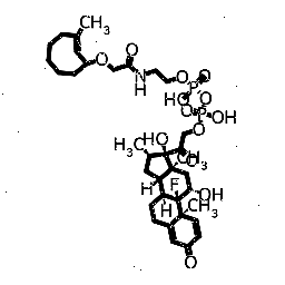 C/C1=C\C(OCC(=O)NCCOP(=O)(O)OP(=O)(O)OCC(=O)[C@@]2(O)[C@H](C)C[C@H]3[C@@H]4CCC5=CC(=O)C=C[C@]5(C)[C@@]4(F)[C@@H](O)C[C@@]32C)CCCCC1